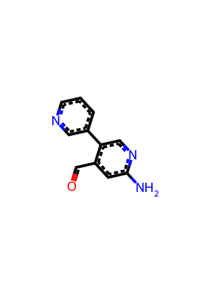 Nc1cc(C=O)c(-c2cccnc2)cn1